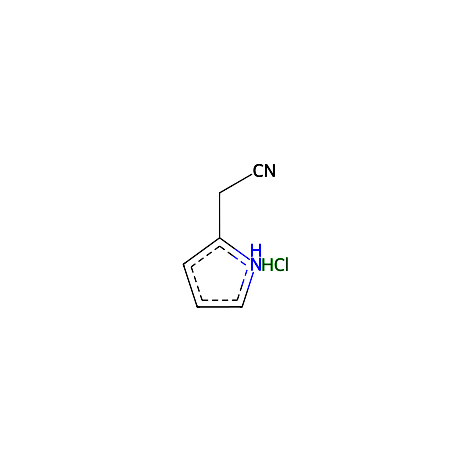 Cl.N#CCc1ccc[nH]1